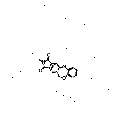 CN1C(=O)C2C3C=CC(C2C1=O)N1COc2ccccc2N=C31